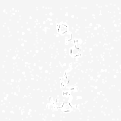 O=C(Cc1ccncc1)Nc1ccc(CCCCn2cc(C(=O)NCc3cc(OC(F)(F)F)ccc3F)nn2)nn1